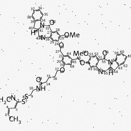 C=N/C(=C\C=C/C)SSCCNC(=O)CCCCOc1cc(COc2cc3c(cc2OC)C(=O)N2c4ccccc4C[C@H]2C=N3)cc(COc2cc3c(cc2OC)C(=O)N2c4ccccc4C[C@H]2C=N3)c1